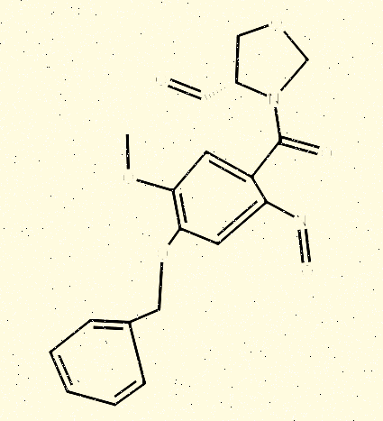 COc1cc(C(=O)N2COC[C@H]2C=O)c(N=O)cc1OCc1ccccc1